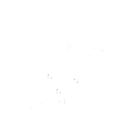 Cn1c(-c2ccccc2)nc2oc(C=C3C(=O)c4ccccc4C3=O)nc21